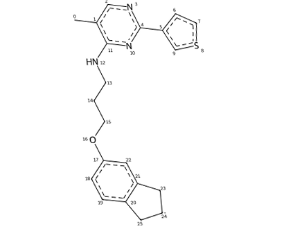 Cc1cnc(-c2ccsc2)nc1NCCCOc1ccc2c(c1)C[CH]C2